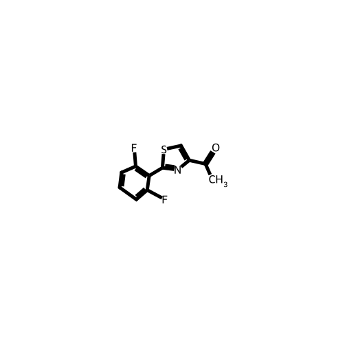 CC(=O)c1csc(-c2c(F)cccc2F)n1